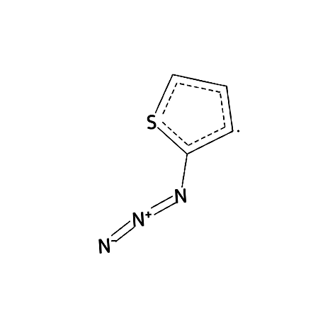 [N-]=[N+]=Nc1[c]ccs1